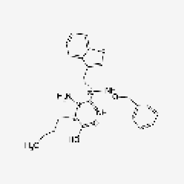 CCCC[C@@H](C(=O)O)N(N)C(=N)[C@H](Cc1csc2ccccc12)NOCc1ccccc1